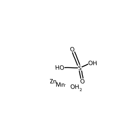 O.O=S(=O)(O)O.[Mn].[Zn]